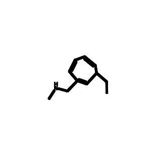 CCC1C=CC=CC(CNC)=C1